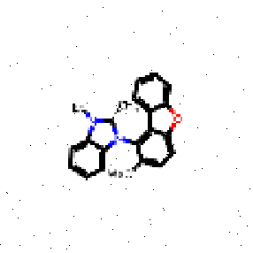 CCN1c2ccccc2N(c2c(OC)ccc3oc4ccccc4c23)[C@H]1C